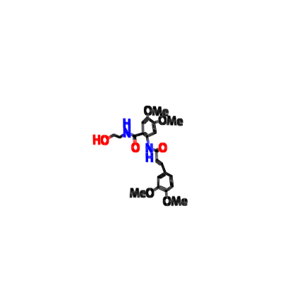 COc1ccc(C=CC(=O)Nc2cc(OC)c(OC)cc2C(=O)NCCO)cc1OC